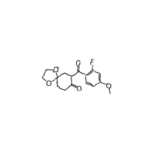 COc1ccc(C(=O)C2CC3(CCC2=O)OCCO3)c(F)c1